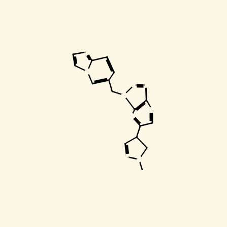 CN1CC(c2cnc3nnn(Cc4ccc5nccn5c4)c3n2)C=N1